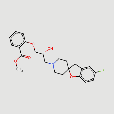 COC(=O)c1ccccc1OC[C@H](O)CN1CCC2(CC1)Cc1cc(F)ccc1O2